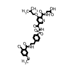 COc1ccc(Cl)c(C(=O)NCCc2ccc(S(=O)(=O)NC(=O)c3cnc(C(=O)NCC(=O)O)c(OCC(C)C)c3)cc2)c1